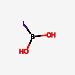 OB(O)I